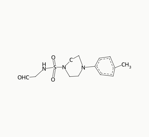 Cc1ccc(N2CCN(S(=O)(=O)NCC=O)CC2)cc1